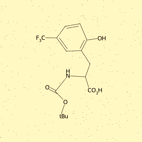 CC(C)(C)OC(=O)NC(Cc1cc(C(F)(F)F)ccc1O)C(=O)O